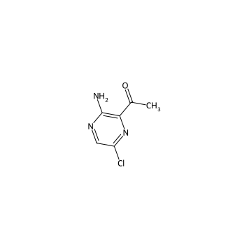 CC(=O)c1nc(Cl)cnc1N